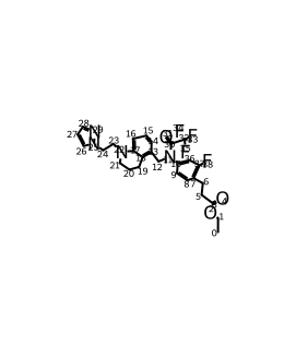 CCOC(=O)CCc1ccc(N(Cc2cccc3c2CCCN3CCn2cccn2)C(=O)C(F)(F)F)cc1F